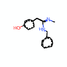 C/N=C(/Cc1ccc(O)cc1)NCc1ccccc1